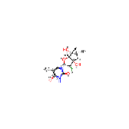 Cc1cn([C@@H]2O[C@@H]3[C@@]4(O)C[C@H]4C[C@]3(O)[C@H]2F)c(=O)[nH]c1=O